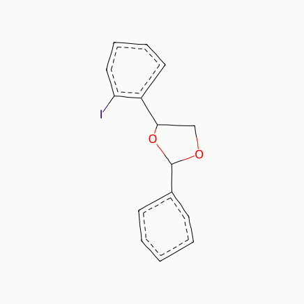 Ic1ccccc1C1COC(c2ccccc2)O1